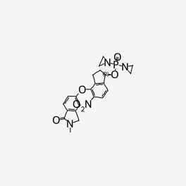 CN1Cc2cc(Oc3c([N+](=O)[O-])ccc4c3CC[C@H]4OP(=O)(N3CC3)N3CC3)ccc2C1=O